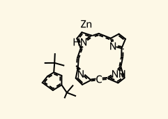 C1=Cc2cc3ccc(cc4nc(cc5ccc(cc1n2)[nH]5)C=C4)[nH]3.CC(C)(C)c1cccc(C(C)(C)C)c1.[Zn]